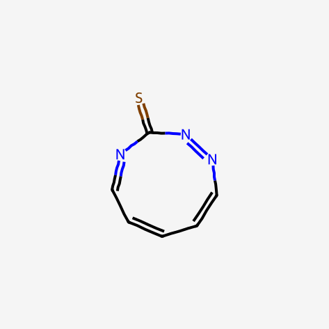 S=C1\N=C/C=C\C=C/N=N\1